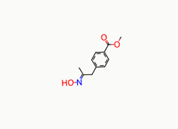 COC(=O)c1ccc(C/C(C)=N/O)cc1